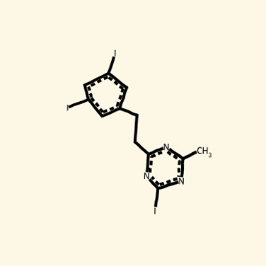 Cc1nc(I)nc(CCc2cc(I)cc(I)c2)n1